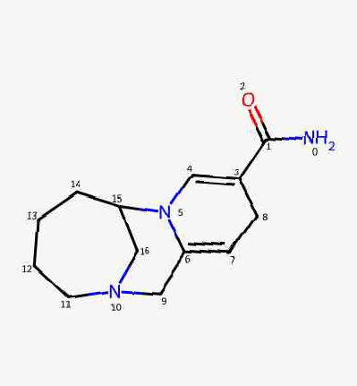 NC(=O)C1=CN2C(=CC1)CN1CCCCC2C1